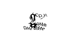 COc1cc(CN2CCC(C(=O)O)C2)cc(OC)c1OC